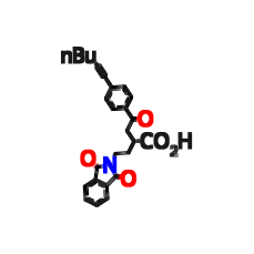 CCCCC#Cc1ccc(C(=O)C[C@H](CCN2C(=O)c3ccccc3C2=O)C(=O)O)cc1